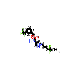 CC(F)(F)CCCCn1cc(NC(=O)OCc2cccc(C(F)(F)F)c2)cn1